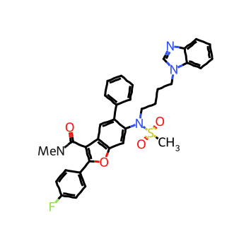 CNC(=O)c1c(-c2ccc(F)cc2)oc2cc(N(CCCCn3cnc4ccccc43)S(C)(=O)=O)c(-c3ccccc3)cc12